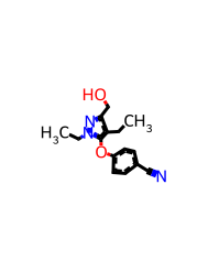 CCc1c(CO)nn(CC)c1Oc1ccc(C#N)cc1